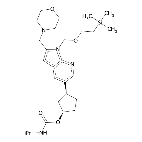 CC(C)NC(=O)O[C@@H]1CC[C@H](c2cnc3c(c2)cc(CN2CCOCC2)n3COCC[Si](C)(C)C)C1